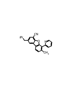 Cc1ccc2c(oc3c(C#N)cc(CC(C)C)cc32)c1-c1ccccn1